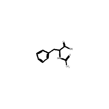 [CH2]C(=O)NC(Cc1ccccc1)C(=O)O